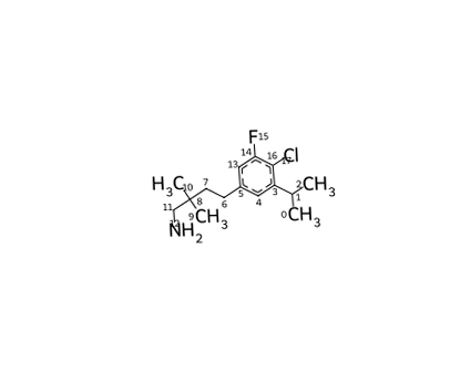 CC(C)c1cc(CCC(C)(C)CN)cc(F)c1Cl